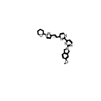 COc1ccc2c(c1)CN(c1nccc(-c3nccc(/C=C/c4ccn(C5CCCCO5)n4)n3)n1)C2